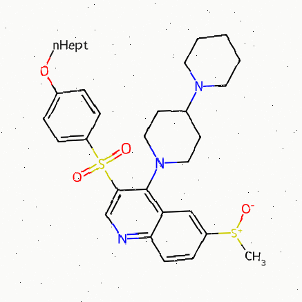 CCCCCCCOc1ccc(S(=O)(=O)c2cnc3ccc([S+](C)[O-])cc3c2N2CCC(N3CCCCC3)CC2)cc1